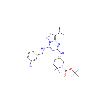 CC(C)c1cnn2c(NCc3cccc(N)c3)nc(N[C@H]3CCC(C)(C)N(C(=O)OC(C)(C)C)C3)nc12